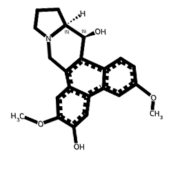 COc1ccc2c3c(c4cc(OC)c(O)cc4c2c1)CN1CCC[C@H]1[C@H]3O